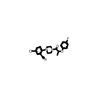 CC(Oc1ccc(F)cc1)C(=O)N1CCN(c2ccc(Cl)cc2C#N)CC1